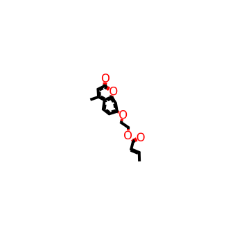 CC=CC(=O)OCCOc1ccc2c(C)cc(=O)oc2c1